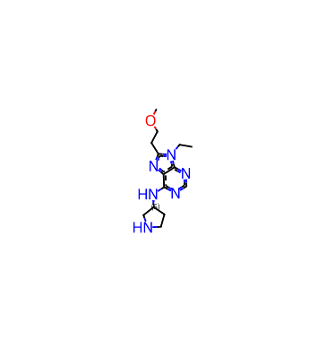 CCn1c(CCOC)nc2c(N[C@H]3CCNC3)ncnc21